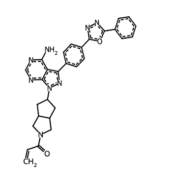 C=CC(=O)N1CC2CC(n3nc(-c4ccc(-c5nnc(-c6ccccc6)o5)cc4)c4c(N)ncnc43)CC2C1